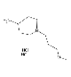 COCCCN1CCC(N)CC1.Cl.Cl